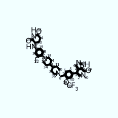 Cn1cc(-c2ccc(CN3CCC(C4CCN(c5ccc(NC6CCC(=O)NC6=O)cc5F)CC4)CC3)c(OC(F)(F)F)c2)c2cn[nH]c2c1=O